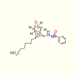 O=C(O)CCCCCC[C@@H]1[C@H](CNNC(=O)c2ccccc2)[C@H]2O[C@@H]1[C@H]1O[C@H]12